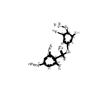 CCCCCc1cc(F)c(C(F)(F)Oc2cc(F)c(OC(F)(F)F)c(F)c2)c(F)c1